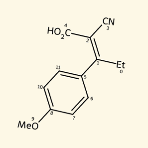 CCC(=C(C#N)C(=O)O)c1ccc(OC)cc1